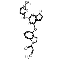 C=CC(=O)N1CCc2c(Oc3nc(Nc4ccn(C)n4)nc4[nH]ccc34)cccc21